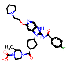 CC1CN(C(=O)[C@H]2CC[C@@H](n3/c(=N/C(=O)c4ccc(F)cc4)[nH]c4cnc(OCCN5CCCCC5)cc43)CC2)CCN1C(=O)O